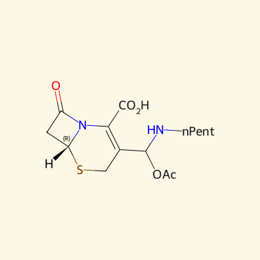 CCCCCNC(OC(C)=O)C1=C(C(=O)O)N2C(=O)C[C@H]2SC1